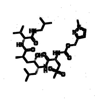 CC(C)CNC(=O)[C@H](NC(=O)[C@H](C)C[C@H](O)[C@@H](CC(C)C)NC(=O)[C@H](CS(C)(=O)=O)NC(=O)OCc1ccn(C)n1)C(C)C